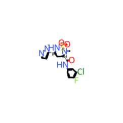 CN1[C@H](C(=O)Nc2ccc(F)c(Cl)c2)C[C@H](c2ccnn2C)NS1(=O)=O